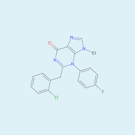 CCn1cnc2c(=O)nc(Cc3ccccc3Cl)n(-c3ccc(F)cc3)c21